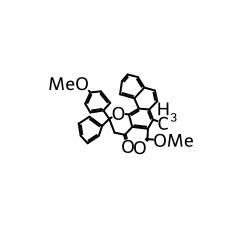 COC(=O)c1c2c(c3c(ccc4ccccc43)c1C)OC(c1ccccc1)(c1ccc(OC)cc1)CC2=O